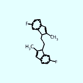 CC1=Cc2ccc(F)cc2C1CCC1C(C)=Cc2ccc(F)cc21